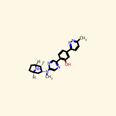 Cc1ccc(-c2ccc(-c3cnc(N(C)[C@@H]4C[C@H]5CC[C@H](N5)[C@@H]4F)cn3)c(O)c2)nn1